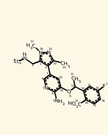 CCNCc1c(-c2cnc(N)c(OC(C)c3cc(F)ccc3C(=O)O)c2)c(C)nn1C